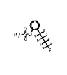 CS(=O)(=O)Oc1ccccc1C(F)(F)C(F)(F)C(F)(F)C(F)(F)F